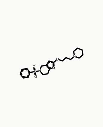 O=S(=O)(c1ccccc1)N1CCc2sc(OCCCN3CCCCC3)cc2C1